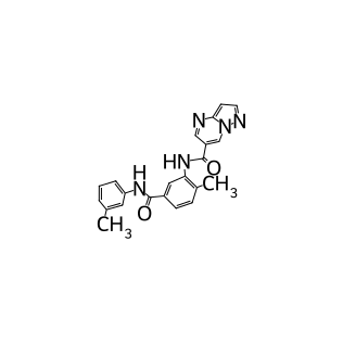 Cc1cccc(NC(=O)c2ccc(C)c(NC(=O)c3cnc4ccnn4c3)c2)c1